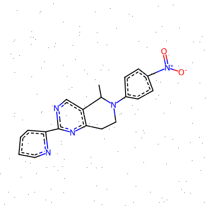 CC1c2cnc(-c3ccccn3)nc2CCN1c1ccc([N+](=O)[O-])cc1